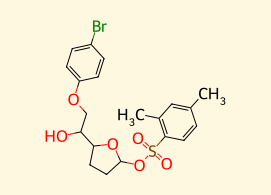 Cc1ccc(S(=O)(=O)OC2CCC(C(O)COc3ccc(Br)cc3)O2)c(C)c1